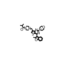 Cc1oc2ccccc2c1-c1nc(N2CCOCC2)nc2c(CN3CCN(C(=O)C(C)C)CC3)csc12